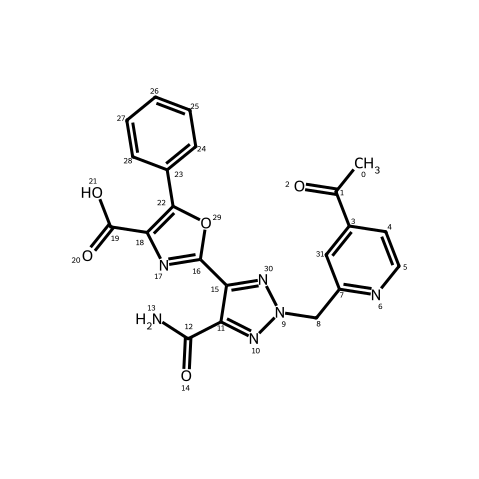 CC(=O)c1ccnc(Cn2nc(C(N)=O)c(-c3nc(C(=O)O)c(-c4ccccc4)o3)n2)c1